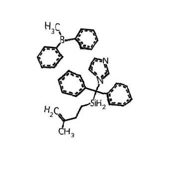 C=C(C)CC[SiH2]C(c1ccccc1)(c1ccccc1)n1ccnc1.CB(c1ccccc1)c1ccccc1